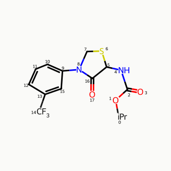 CC(C)OC(=O)NC1SCN(c2cccc(C(F)(F)F)c2)C1=O